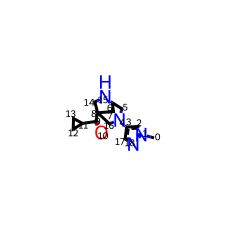 Cn1cc(N2CC3CC(C(=O)C4CC4)(CN3)C2)cn1